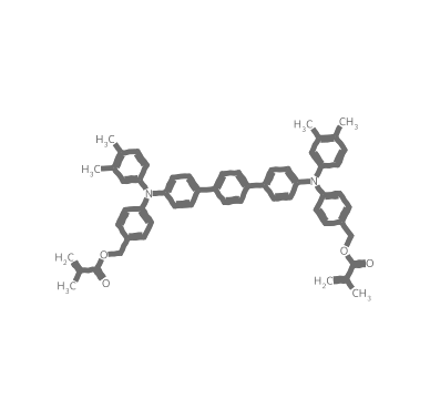 C=C(C)C(=O)OCc1ccc(N(c2ccc(-c3ccc(-c4ccc(N(c5ccc(COC(=O)C(=C)C)cc5)c5ccc(C)c(C)c5)cc4)cc3)cc2)c2ccc(C)c(C)c2)cc1